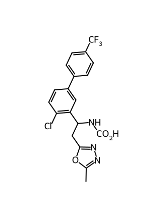 Cc1nnc(CC(NC(=O)O)c2cc(-c3ccc(C(F)(F)F)cc3)ccc2Cl)o1